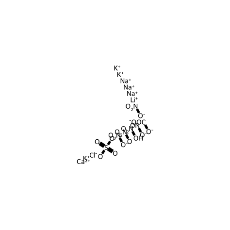 O=C([O-])[O-].O=N[O-].O=S(=O)([O-])[O-].O=[N+]([O-])O.O=[N+]([O-])[O-].O=[N+]([O-])[O-].O=[N+]([O-])[O-].[Ca+2].[Cl-].[K+].[K+].[K+].[Li+].[Na+].[Na+].[Na+]